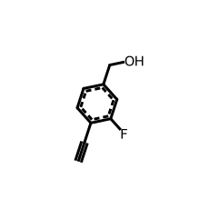 C#Cc1ccc(CO)cc1F